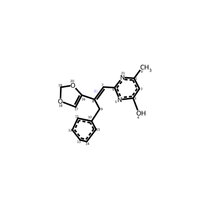 Cc1cc(O)nc(/C=C(\Cc2ccccc2)C2=COCO2)n1